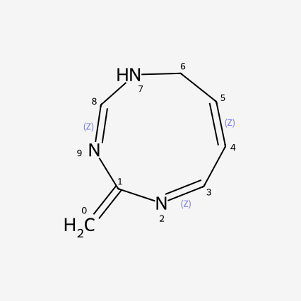 C=C1/N=C\C=C/CN/C=N\1